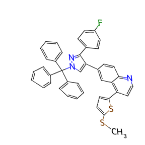 CSc1ccc(-c2ccnc3ccc(-c4cn(C(c5ccccc5)(c5ccccc5)c5ccccc5)nc4-c4ccc(F)cc4)cc23)s1